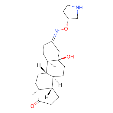 C[C@]12CC[C@H]3[C@@H](CC[C@@]4(O)CC(=NO[C@@H]5CCNC5)CC[C@]34C)[C@@H]1CCC2=O